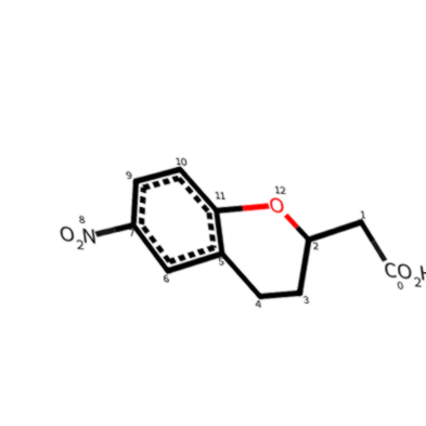 O=C(O)CC1CCc2cc([N+](=O)[O-])ccc2O1